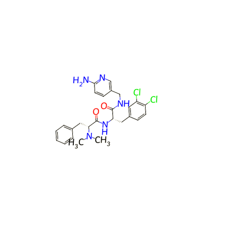 CN(C)[C@H](Cc1ccccc1)C(=O)N[C@@H](Cc1ccc(Cl)c(Cl)c1)C(=O)NCc1ccc(N)nc1